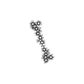 CC1(C)c2cc(/C=C/c3ccc4c(c3)C(C)(C)c3cc5c(cc3-4)C(C)(C)c3ccccc3N5c3ccccc3)ccc2-c2ccc(-c3ccc4c(c3)C(C)(C)c3cc5c(cc3-4)C(C)(C)c3ccccc3N5c3ccccc3)cc21